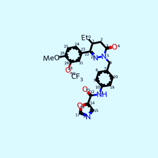 CCC1CC(=O)N(Cc2ccc(NC(=O)c3cnco3)cc2)N=C1c1ccc(OC)c(OC(F)(F)F)c1